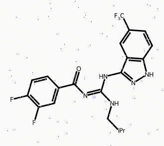 CC(C)CN/C(=N/C(=O)c1ccc(F)c(F)c1)Nc1n[nH]c2ccc(C(F)(F)F)cc12